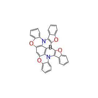 c1ccc2c3c(oc2c1)B1c2oc4ccccc4c2-n2c4ccccc4oc4cc5oc6ccccc6n-3c5c1c42